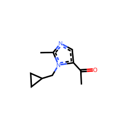 CC(=O)c1cnc(C)n1CC1CC1